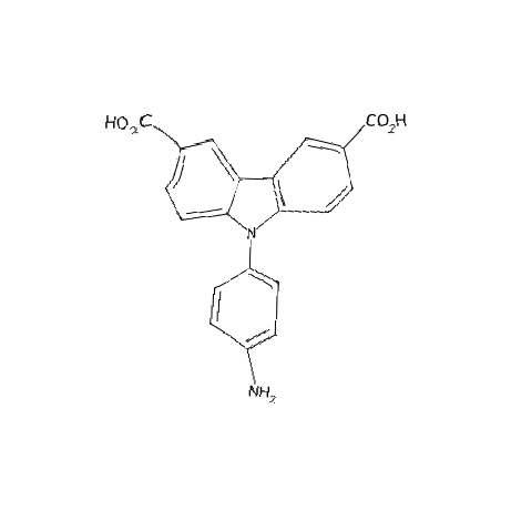 Nc1ccc(-n2c3ccc(C(=O)O)cc3c3cc(C(=O)O)ccc32)cc1